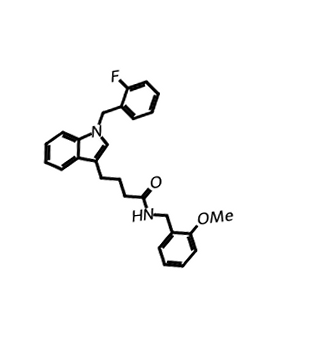 COc1ccccc1CNC(=O)CCCc1cn(Cc2ccccc2F)c2ccccc12